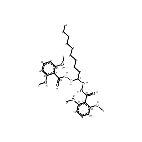 [CH2]CCCCCCCC[C](OOC(=O)c1c(OC)cccc1OC)OOC(=O)c1c(OC)cccc1OC